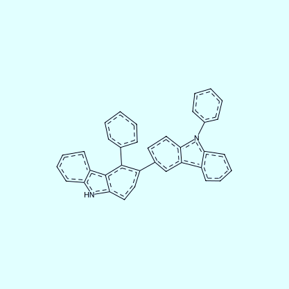 c1ccc(-c2c(-c3ccc4c(c3)c3ccccc3n4-c3ccccc3)ccc3[nH]c4ccccc4c23)cc1